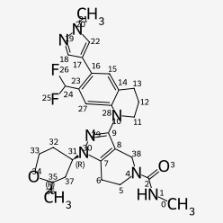 CNC(=O)N1CCc2c(c(N3CCCc4cc(-c5cnn(C)c5)c(C(F)F)cc43)nn2[C@@H]2CCO[C@H](C)C2)C1